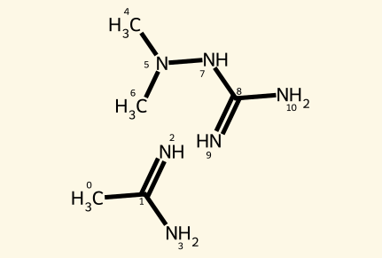 CC(=N)N.CN(C)NC(=N)N